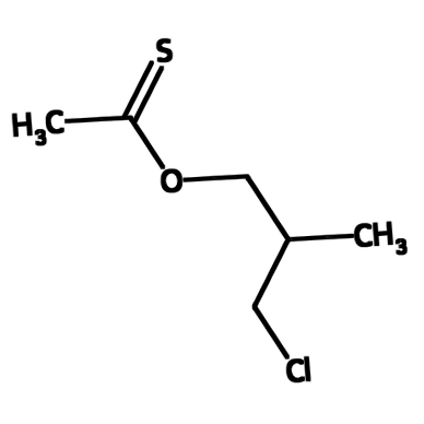 CC(=S)OCC(C)CCl